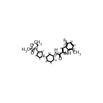 CCN([C@@H]1CCN([C@H]2CCC[C@@H](NC(=O)c3cc4c(F)ccc(C)c4[nH]3)C2)C1)S(C)(=O)=O